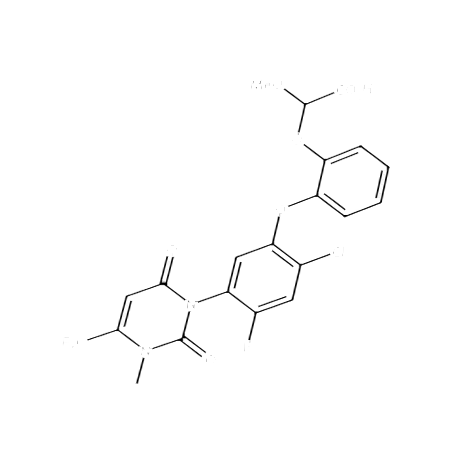 COC(Oc1ccccc1Oc1cc(-n2c(=O)cc(C(F)(F)F)n(C)c2=O)c(F)cc1Cl)C(=O)O